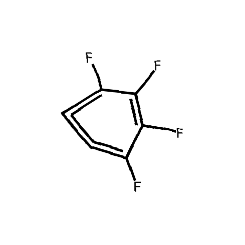 FC1=C=C=C(F)C(F)=C1F